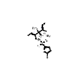 C/C=C(\C)C(O)(/C(C)=C/C)[C@@H](NS(=O)(=O)c1ccc(Br)s1)[C@@H](C)CC